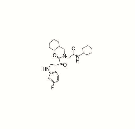 O=C(CN(CC1CCCCC1)C(=O)C(=O)C1CNc2cc(F)ccc21)NC1CCCCC1